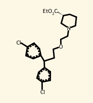 CCOC(=O)[C@@H]1CCCN(CCOCCC(c2ccc(Cl)cc2)c2ccc(Cl)cc2)C1